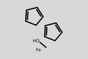 C1=CCC=C1.C1=CCC=C1.CO.[Fe]